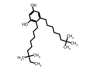 CCC(C)(C)CCCCCCc1c(O)cc(O)cc1CCCCCCC(C)(C)C